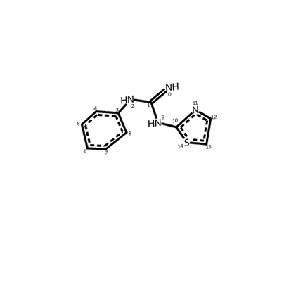 N=C(Nc1ccccc1)Nc1nccs1